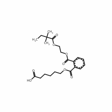 CCC(C)(C)C(=O)OCCOC(=O)c1ccccc1C(=O)OCCCCCC(=O)O